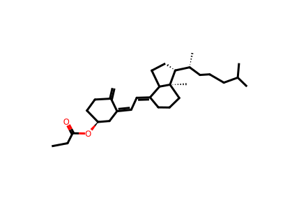 C=C1CC[C@H](OC(=O)CC)C/C1=C/C=C1\CCC[C@@]2(C)C1CC[C@@H]2[C@H](C)CCCC(C)C